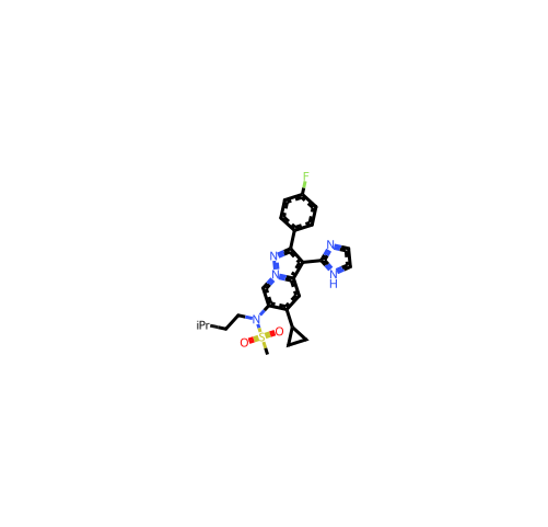 CC(C)CCN(c1cn2nc(-c3ccc(F)cc3)c(-c3ncc[nH]3)c2cc1C1CC1)S(C)(=O)=O